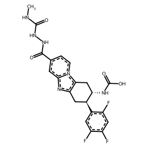 CNC(=O)NNC(=O)c1ccn2c3c(nc2c1)C[C@H](c1cc(F)c(F)cc1F)[C@@H](NC(=O)O)C3